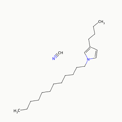 C#N.CCCCCCCCCCCCn1ccc(CCCC)c1